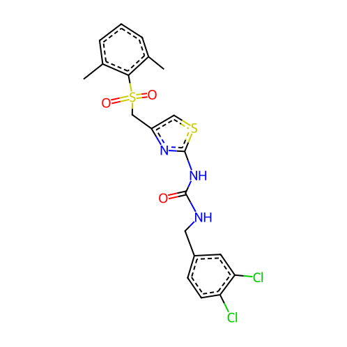 Cc1cccc(C)c1S(=O)(=O)Cc1csc(NC(=O)NCc2ccc(Cl)c(Cl)c2)n1